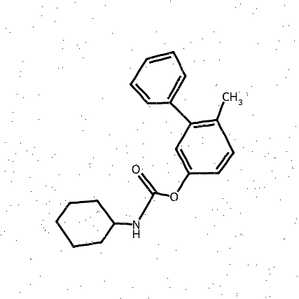 Cc1ccc(OC(=O)NC2CCCCC2)cc1-c1ccccc1